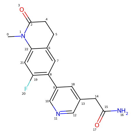 CN1C(=O)CCc2cc(-c3cncc(CC(N)=O)c3)c(F)cc21